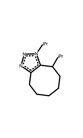 CC(C)C1CCCCCc2nnn(C(C)C)c21